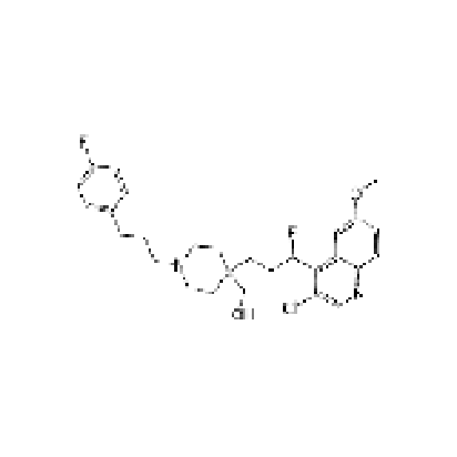 COc1ccc2ncc(Cl)c([C@H](F)CCC3(CO)CCN(CCCc4ccc(F)cc4)CC3)c2c1